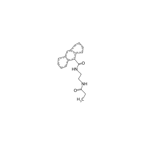 CCC(=O)NCCNC(=O)c1c2ccccc2cc2ccccc12